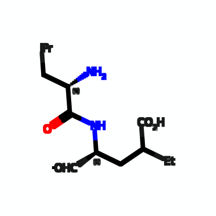 CCC(C[C@@H]([C]=O)NC(=O)[C@@H](N)CC(C)C)C(=O)O